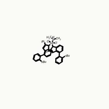 CCCCc1ccccc1-c1cccc2c1C=C(C(C)C)[CH]2[Hf]([Cl])([Cl])([CH]1C(C(C)C)=Cc2c(-c3ccccc3CCCC)cccc21)[SiH](C)C